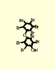 Oc1c(Br)c(Br)c(Oc2c(Br)c(Br)c(Br)c(Br)c2Br)c(Br)c1Br